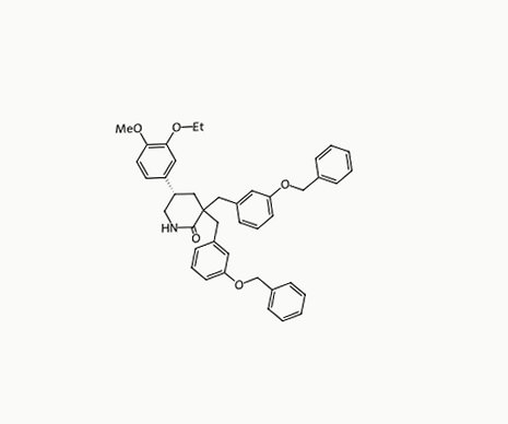 CCOc1cc([C@H]2CNC(=O)C(Cc3cccc(OCc4ccccc4)c3)(Cc3cccc(OCc4ccccc4)c3)C2)ccc1OC